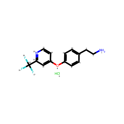 Cl.NCCc1ccc(Oc2ccnc(C(F)(F)F)c2)cc1